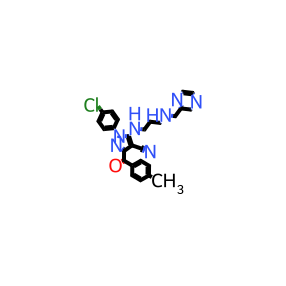 Cc1ccc(C(=O)c2nn(-c3ccc(Cl)cc3)c(NCCCNCc3cnccn3)c2C#N)cc1